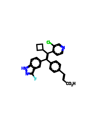 O=C(O)/C=C/c1ccc(/C(=C(\c2ccncc2Cl)C2CCC2)c2ccc3[nH]nc(F)c3c2)cc1